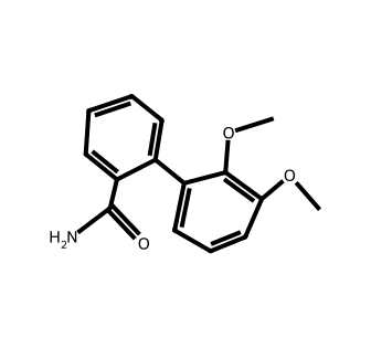 COc1cccc(-c2ccccc2C(N)=O)c1OC